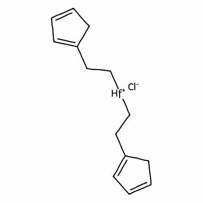 C1=CCC(C[CH2][Hf+][CH2]CC2=CC=CC2)=C1.[Cl-]